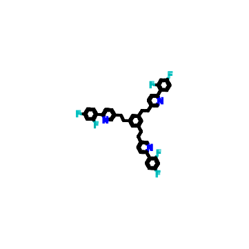 Fc1ccc(-c2ccc(CCc3cc(CCc4ccc(-c5ccc(F)cc5F)nc4)cc(CCc4ccc(-c5ccc(F)cc5F)nc4)c3)cn2)c(F)c1